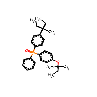 CCC(C)(C)Oc1ccc(P(=O)(c2ccccc2)c2ccc(C(C)(CC)CC)cc2)cc1